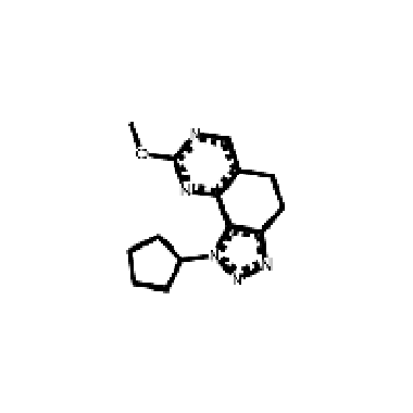 COc1ncc2c(n1)-c1c(nnn1C1CCCC1)CC2